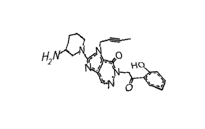 CC#CCn1c(N2CCCC(N)C2)nc2cnn(CC(=O)c3ccccc3O)c(=O)c21